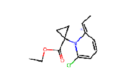 C/C=C1\C=CC=C(Cl)N1C1(C(=O)OCC)CC1